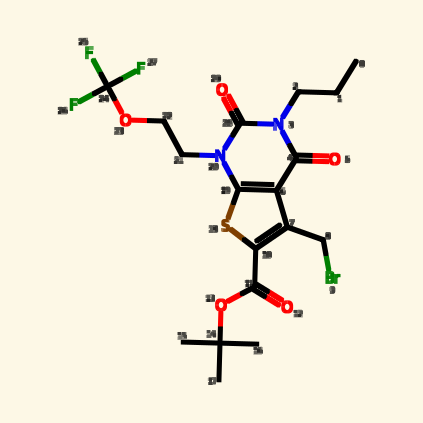 CCCn1c(=O)c2c(CBr)c(C(=O)OC(C)(C)C)sc2n(CCOC(F)(F)F)c1=O